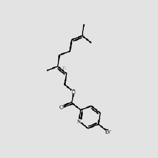 CC(C)=CCC/C(C)=C/COC(=O)c1ccc(Br)cn1